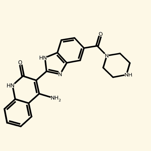 Nc1c(-c2nc3cc(C(=O)N4CCNCC4)ccc3[nH]2)c(=O)[nH]c2ccccc12